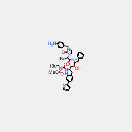 COC(=O)N(CC(C)(C)C)C(=O)NC(Cc1ccc(-c2ccccn2)cc1)CC(O)C(Cc1ccccc1)NC(=O)C(N1CCN(Cc2ccc(N)cc2)C1=O)C(C)(C)C